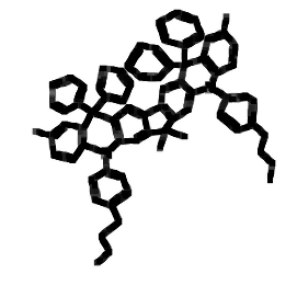 CCCCc1ccc(N2c3ccc(C)cc3C(c3ccccc3)(c3ccccc3)c3cc4c(cc32)C(C)(C)c2cc3c(cc2-4)C(c2ccccc2)(c2ccccc2)c2cc(C)ccc2N3c2ccc(CCCC)cc2)cc1